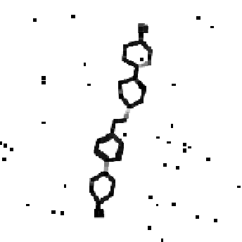 CC[C@H]1CC[C@H](c2ccc(CC[C@H]3CC[C@H]([C@H]4CC[C@H](CC)CC4)CC3)cc2)CC1